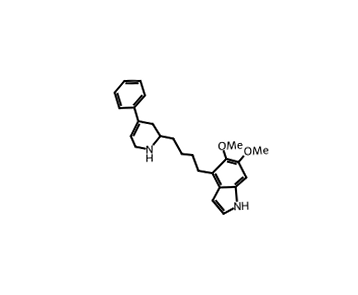 COc1cc2[nH]ccc2c(CCCCC2CC(c3ccccc3)=CCN2)c1OC